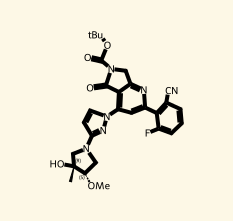 CO[C@H]1CN(c2ccn(-c3cc(-c4c(F)cccc4C#N)nc4c3C(=O)N(C(=O)OC(C)(C)C)C4)n2)C[C@@]1(C)O